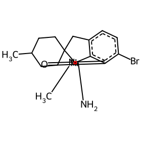 CC1CCC2(CC1)Cc1ccc(Br)cc1C21N=C(N)N(C)C1=O